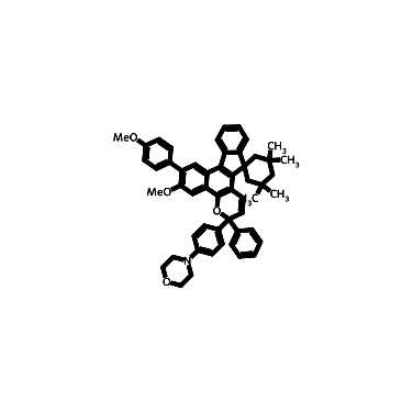 COc1ccc(-c2cc3c4c(c5c(c3cc2OC)OC(c2ccccc2)(c2ccc(N3CCOCC3)cc2)C=C5)C2(CC(C)(C)CC(C)(C)C2)c2ccccc2-4)cc1